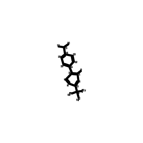 Cc1cc(C(F)(F)F)ccc1-c1ccc(C(C)C)cc1